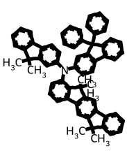 CC1(C)c2ccccc2-c2ccc(N(c3ccc4c(c3)C(c3ccccc3)(c3ccccc3)c3ccccc3-4)c3cccc4c3C(C)(C)c3cc5c(cc3-4)C(C)(C)c3ccccc3-5)cc21